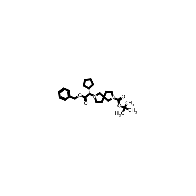 CC(C)(C)OC(=O)N1CCC2(CCN([C@H](C(=O)OCc3ccccc3)C3CCCC3)C2)C1